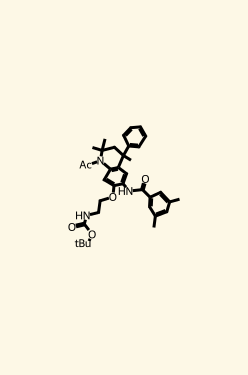 CC(=O)N1c2cc(OCCNC(=O)OC(C)(C)C)c(NC(=O)c3cc(C)cc(C)c3)cc2C(C)(c2ccccc2)CC1(C)C